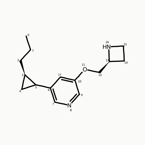 CCC[C@@H]1CC1c1cncc(OC[C@@H]2CCN2)c1